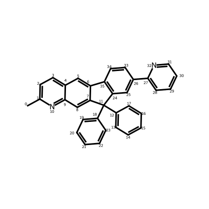 Cc1ccc2cc3c(cc2n1)C(c1ccccc1)(c1ccccc1)c1cc(-c2ccccn2)ccc1-3